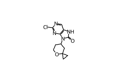 O=c1[nH]c2cnc(Cl)nc2n1C1CCOC2(CC2)C1